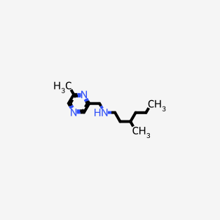 CCCC(C)CCNCc1cncc(C)n1